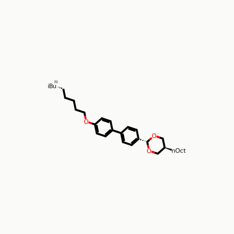 CCCCCCCC[C@H]1CO[C@H](c2ccc(-c3ccc(OCCCCC[C@@H](C)CC)cc3)cc2)OC1